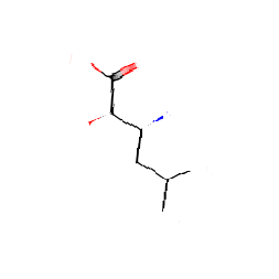 CC(C)C[C@H](N)[C@@H](O)C(=O)O